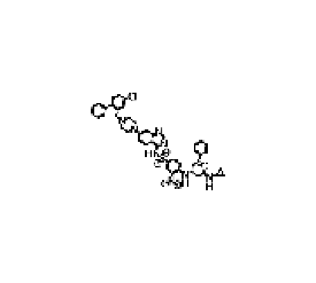 O=C(CC(CSc1ccccc1)Nc1ccc(S(=O)(=O)Nc2ncnc3cc(N4CCN(Cc5cc(Cl)ccc5-c5ccccc5)CC4)ccc23)cc1[N+](=O)[O-])NC1CC1